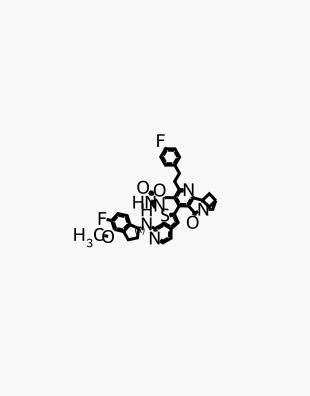 COc1c(F)ccc2c1CC[C@H]2Nc1nccc2cc(-c3c4c(nc(CCc5ccc(F)cc5)c3-c3n[nH]c(=O)o3)C35CC(CN3C4=O)C5)sc12